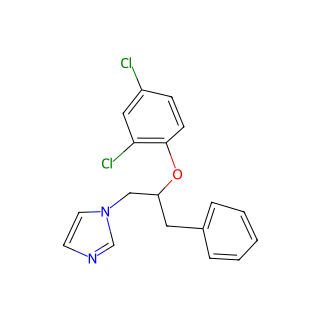 Clc1ccc(OC(Cc2ccccc2)Cn2ccnc2)c(Cl)c1